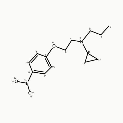 CCCN(CCOc1ccc(B(O)O)cc1)C1CC1